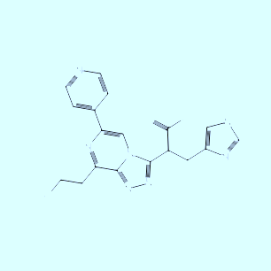 CCCc1nc(-c2ccncc2)cn2c(C(Cc3c[nH]cn3)C(=O)O)nnc12